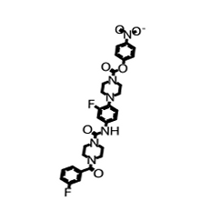 O=C(Nc1ccc(N2CCN(C(=O)Oc3ccc([N+](=O)[O-])cc3)CC2)c(F)c1)N1CCN(C(=O)c2cccc(F)c2)CC1